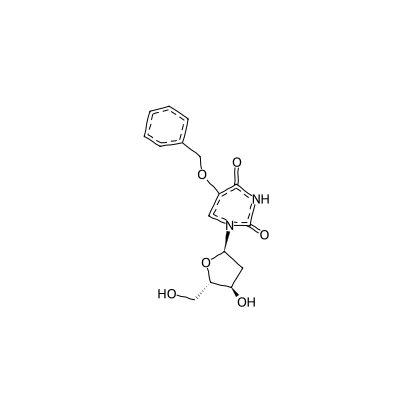 O=c1[nH]c(=O)n([C@H]2C[C@@H](O)[C@H](CO)O2)cc1OCc1ccccc1